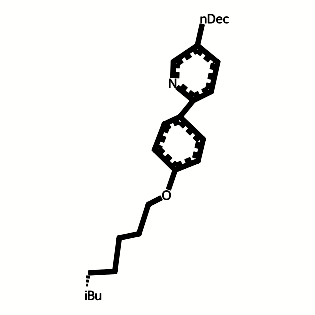 CCCCCCCCCCc1ccc(-c2ccc(OCCCCC[C@@H](C)CC)cc2)nc1